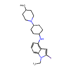 COC1CCN(C2CCC(Nc3cccc4c3cc(I)n4CC(F)(F)F)CC2)CC1